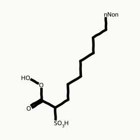 CCCCCCCCCCCCCCCCC(C(=O)OO)S(=O)(=O)O